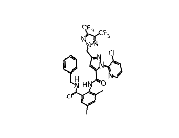 Cc1cc(I)cc(C(=O)NCc2ccccc2)c1NC(=O)c1cc(Cn2nc(C(F)(F)F)c(C(F)(F)F)n2)nn1-c1ncccc1Cl